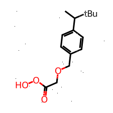 CC(c1ccc(COCC(=O)OO)cc1)C(C)(C)C